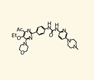 CCOc1c(C(C)=O)nc(-c2ccc(NC(=O)Nc3ccc(N4CCN(C)CC4)cn3)cc2)nc1N1CCOCC1